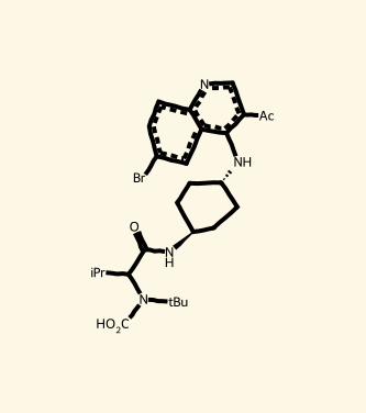 CC(=O)c1cnc2ccc(Br)cc2c1N[C@H]1CC[C@H](NC(=O)C(C(C)C)N(C(=O)O)C(C)(C)C)CC1